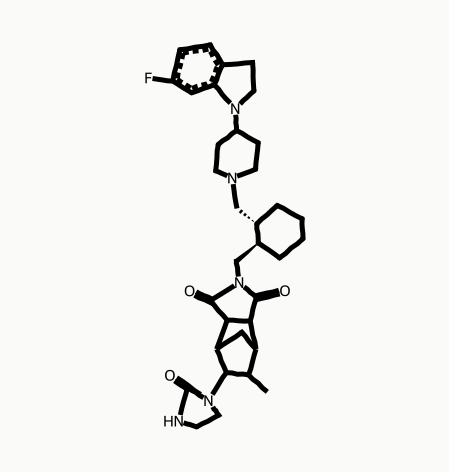 CC1C2CC(C3C(=O)N(C[C@@H]4CCCC[C@H]4CN4CCC(N5CCc6ccc(F)cc65)CC4)C(=O)C23)C1N1CCNC1=O